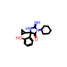 N=C1NC(c2ccccc2O)(C2CC2)C(=O)N1C1CCCCC1